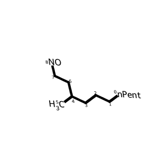 CCCCCCCCC(C)CCN=O